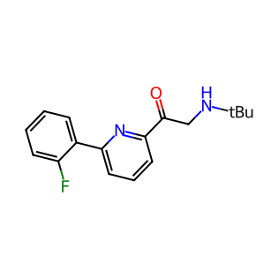 CC(C)(C)NCC(=O)c1cccc(-c2ccccc2F)n1